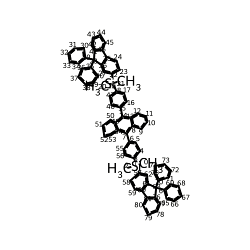 C[Si](C)(c1ccc(-c2c3ccccc3c(-c3ccc([Si](C)(C)c4ccc5c(c4)C(c4ccccc4)(c4ccccc4)c4ccccc4-5)cc3)c3ccccc23)cc1)c1ccc2c(c1)C(c1ccccc1)(c1ccccc1)c1ccccc1-2